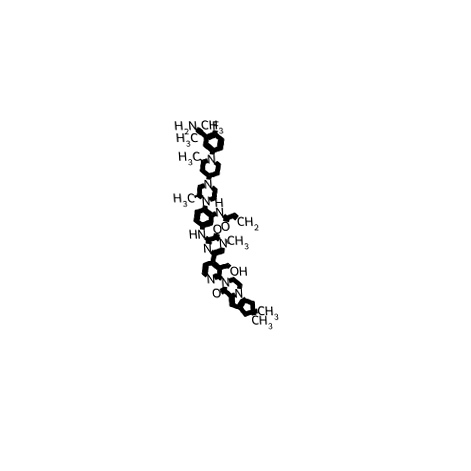 C=CC(=O)Nc1cc(Nc2nc(-c3ccnc(N4CCn5c(cc6c5CC(C)(C)C6)C4=O)c3CO)cn(C)c2=O)ccc1N1CCN(C2CCN(c3ccc(F)c(C(C)(C)N)c3)[C@@H](C)C2)C[C@@H]1C